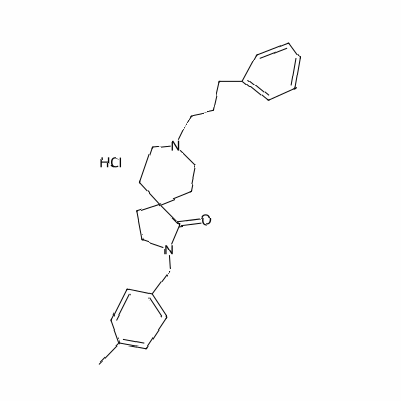 Cc1ccc(CN2CCC3(CCN(CCCc4ccccc4)CC3)C2=O)cc1.Cl